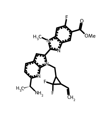 C=CC1C(Cn2c(-c3nc4cc(C(=O)OC)c(F)cc4n3C)cc3ccc([C@@H](C)N)nc32)C1(F)F